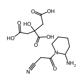 N#CCC(=O)N1CCCCC1N.O=C(O)CC(O)(CC(=O)O)C(=O)O